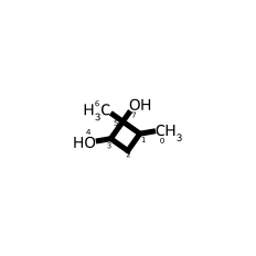 CC1CC(O)C1(C)O